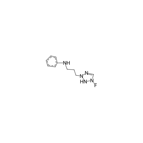 FN1C=NN(CCCNc2ccccc2)N1